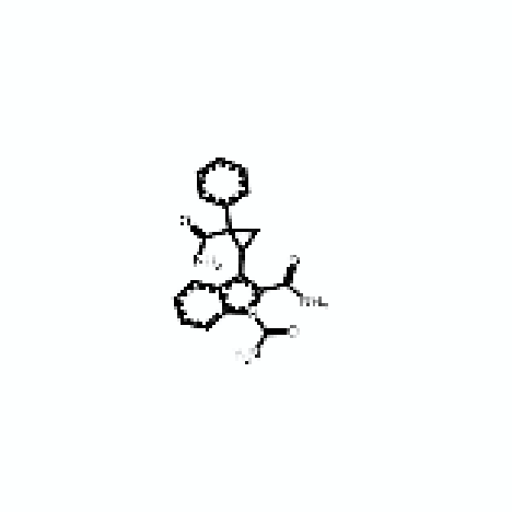 NC(=O)c1c(C2CC2(C(N)=O)c2ccccc2)c2ccccc2n1C(N)=O